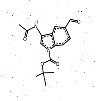 CC(=O)Nc1cn(C(=O)OC(C)(C)C)c2ccc(C=O)cc12